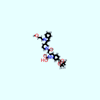 COCCCn1c(C2CCCN(C(=O)C[C@@H](Cc3ccc(B4OC(C)(C)C(C)(C)O4)cc3)NC(=O)O)C2)cc2ccccc21